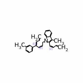 C=C/C=C\c1c(C)c2ccccc2n1C/C=C\C(=C/C=C)c1cccc(C)c1